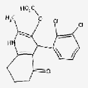 CC1=C(OC(=O)O)C(c2cccc(Cl)c2Cl)C2=C(CCCC2=O)N1